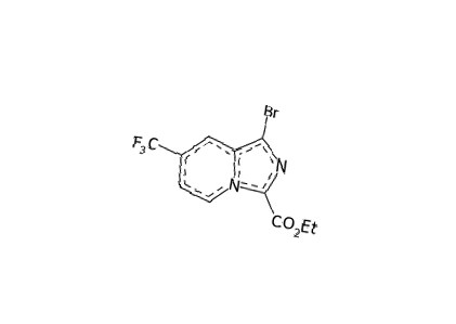 CCOC(=O)c1nc(Br)c2cc(C(F)(F)F)ccn12